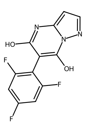 Oc1nc2ccnn2c(O)c1-c1c(F)cc(F)cc1F